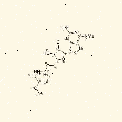 CNc1nc(N)nc2c1ncn2[C@@H]1O[C@H](CO[PH](=O)N[C@@H](C)C(=O)OC(C)C)[C@@H](O)[C@H]1F